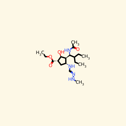 CCOC(=O)[C@H]1C[C@@H](NC=NNC)[C@H]([C@@H](NC(C)=O)C(CC)CC)[C@@H]1O